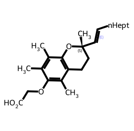 CCCCCCC/C=C/[C@]1(C)CCc2c(C)c(OCC(=O)O)c(C)c(C)c2O1